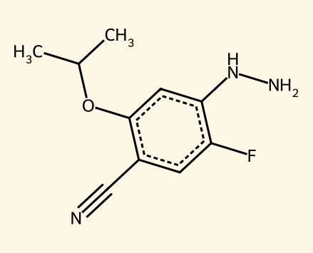 CC(C)Oc1cc(NN)c(F)cc1C#N